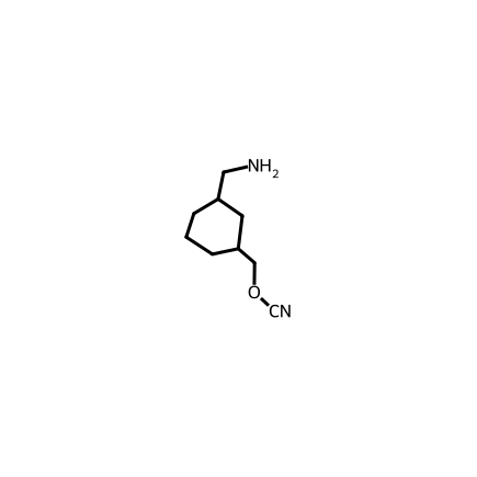 N#COCC1CCCC(CN)C1